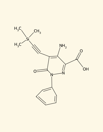 C[Si](C)(C)C#Cc1c(N)c(C(=O)O)nn(-c2ccccc2)c1=O